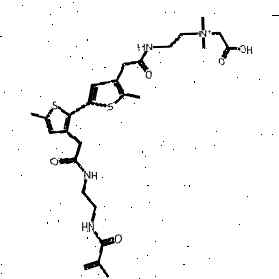 C=C(C)C(=O)NCCNC(=O)Cc1cc(C)sc1-c1cc(CC(=O)NCC[N+](C)(C)CC(=O)O)c(C)s1